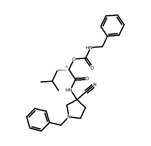 CC(C)C[C@H](OC(=O)NCc1ccccc1)C(=O)NC1(C#N)CCN(Cc2ccccc2)C1